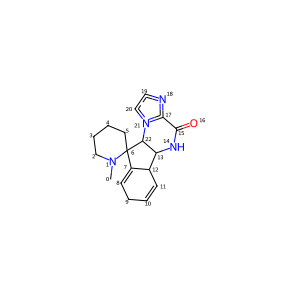 CN1CCCCC12C1=CCC=CC1C1NC(=O)c3nccn3C12